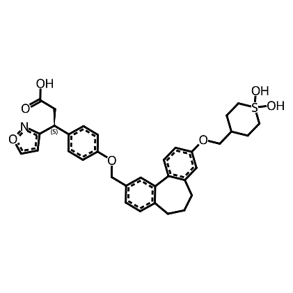 O=C(O)C[C@@H](c1ccc(OCc2ccc3c(c2)-c2ccc(OCC4CCS(O)(O)CC4)cc2CCC3)cc1)c1ccon1